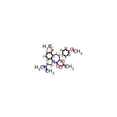 COc1ccc([C@H]2Cc3c(SC)cccc3N(CCN(C)C)C(=O)[C@H]2OC(C)=O)cc1